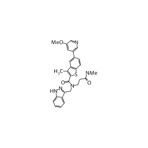 CNC(=O)CCN(Cc1n[nH]c2ccccc12)C(=O)c1sc2ccc(-c3cncc(OC)c3)cc2c1C